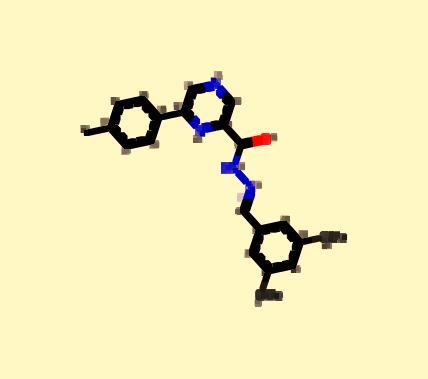 COc1cc(/C=N/NC(=O)c2cncc(-c3ccc(C)cc3)n2)cc(OC)c1